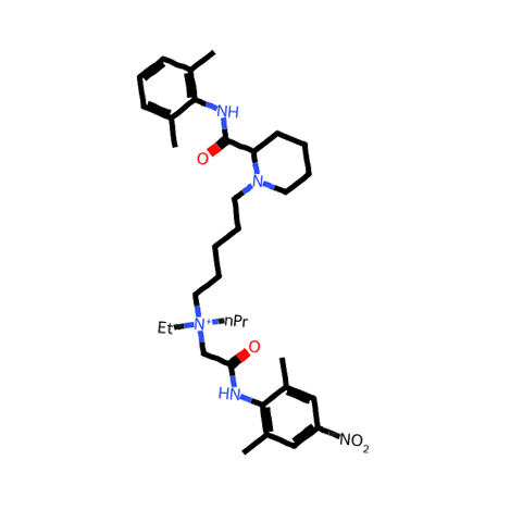 CCC[N+](CC)(CCCCCN1CCCCC1C(=O)Nc1c(C)cccc1C)CC(=O)Nc1c(C)cc([N+](=O)[O-])cc1C